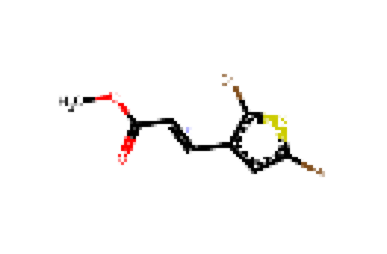 COC(=O)/C=C/c1cc(Br)sc1Br